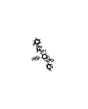 Cc1ccc(N2C[C@]3(CC[C@@H](CNc4ccn(-c5ccccc5F)n4)CC3)OC2=O)cn1.Cl.Cl